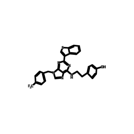 Oc1ccc(CCNc2nc(-c3csc4ccccc34)nc3c2ncn3Cc2ccc(C(F)(F)F)cc2)cc1